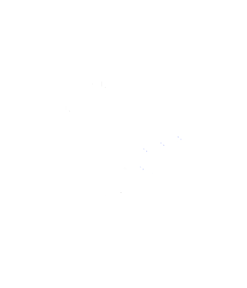 CC(C)SSC(CN=[N+]=[N-])C[C@H](N)C(=O)O